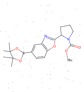 CC(C)(C)OC(=O)N1CCCC1c1nc2cc(B3OC(C)(C)C(C)(C)O3)ccc2o1